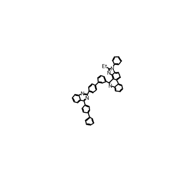 CCc1nc2c3c(-c4cccc(-c5ccc(-c6nc(-c7ccc(-c8ccccc8)cc7)c7ccccc7n6)cc5)c4)nc4ccccc4c3ccc2n1-c1ccccc1